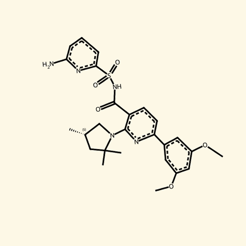 COc1cc(OC)cc(-c2ccc(C(=O)NS(=O)(=O)c3cccc(N)n3)c(N3C[C@@H](C)CC3(C)C)n2)c1